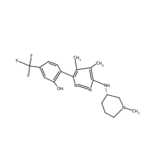 Cc1c(N[C@H]2CCCN(C)C2)nnc(-c2ccc(C(F)(F)F)cc2O)c1C